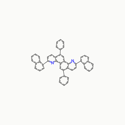 c1ccc(-c2cc3c(cc(-c4ccccc4)c4ccc(-c5cccc6ccccc56)nc43)c3nc(-c4cccc5ccccc45)ccc23)cc1